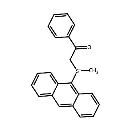 C[S+](CC(=O)c1ccccc1)c1c2ccccc2cc2ccccc12